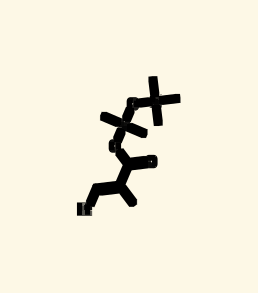 CC/C=C(\C)C(=O)O[Si](C)(C)O[Si](C)(C)C